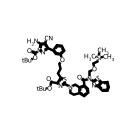 CC(C)(C)OC(=O)c1nc(N2CCc3cccc(C(=O)N(COCC[Si](C)(C)C)c4nc5ccccc5s4)c3C2)sc1CCCOc1cccc(-c2nn(C(=O)OC(C)(C)C)c(N)c2C#N)c1